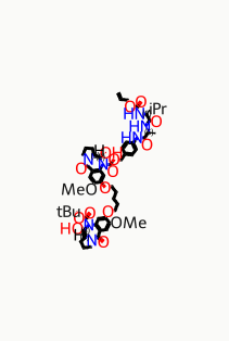 C=CCOC(=O)N[C@H](C(=O)N[C@@H](C)C(=O)Nc1ccc(COC(=O)N2c3cc(OCCCCCOc4cc5c(cc4OC)C(=O)N4CCC[C@H]4[C@H](O)N5C(=O)OC(C)(C)C)c(OC)cc3C(=O)N3CCC[C@H]3[C@@H]2O)cc1)C(C)C